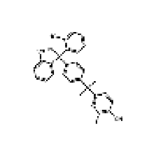 Cc1cc(C(C)(C)c2ccc(C(c3ccccc3O)(c3ccccc3O)C(C)C)cc2)ccc1O